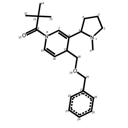 CN1CCCC1C1=CN(C(=O)C(C)(C)C)C=CC1COCc1ccccc1